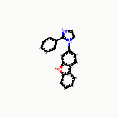 c1ccc(-c2nccn2-c2ccc3c(c2)oc2ccccc23)cc1